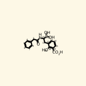 O=C(Cc1ccccc1)NC(Cc1cccc(C(=O)O)c1O)B(O)O